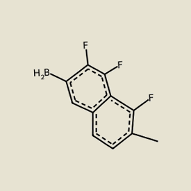 Bc1cc2ccc(C)c(F)c2c(F)c1F